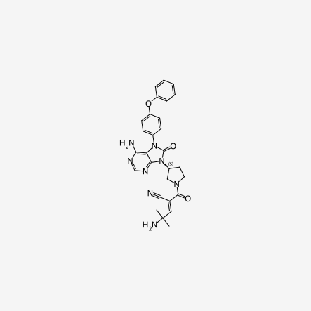 CC(C)(N)C=C(C#N)C(=O)N1CC[C@H](n2c(=O)n(-c3ccc(Oc4ccccc4)cc3)c3c(N)ncnc32)C1